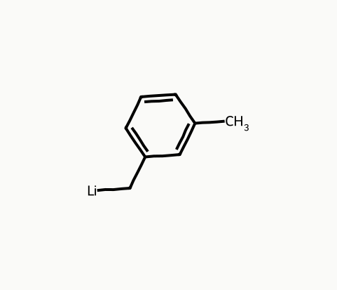 [Li][CH2]c1cccc(C)c1